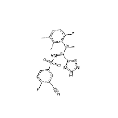 Cc1ccc(F)c([C@@H](C)[C@H](NS(=O)(=O)c2ccc(F)c(C#N)c2)c2nn[nH]n2)c1C